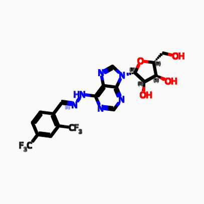 OC[C@H]1O[C@@H](n2cnc3c(N/N=C/c4ccc(C(F)(F)F)cc4C(F)(F)F)ncnc32)[C@H](O)[C@@H]1O